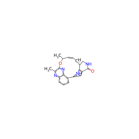 Cc1nc2cccc3c2nc1OC(C)/C=C\C[C@H]1CNC(=O)c2cc-3[nH]c21